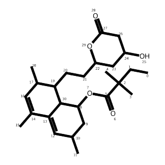 CCC(C)(C)C(=O)OC1CC(C)C=C2C(C)=CC(C)C(CCC3CC(O)CC(=O)O3)C21